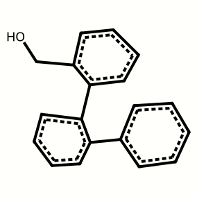 OCc1ccccc1-c1ccccc1-c1ccccc1